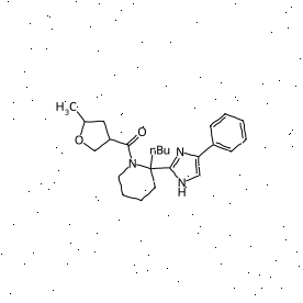 CCCCC1(c2nc(-c3ccccc3)c[nH]2)CCCCN1C(=O)C1COC(C)C1